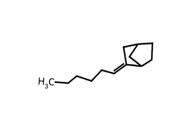 CCCCCC=C1CC2CCC1C2